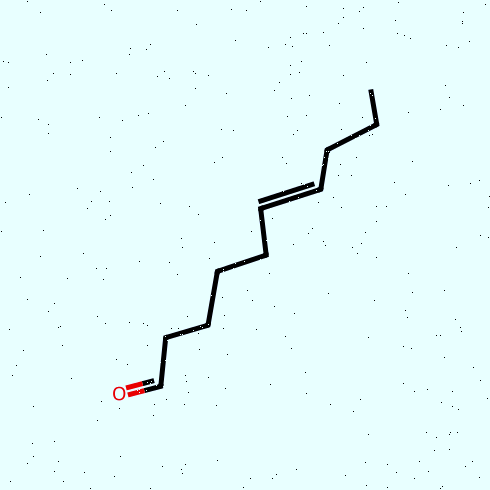 CCCC=CCCCCC=O